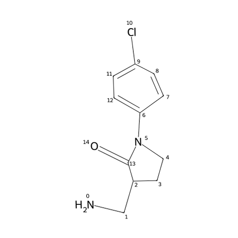 NCC1CCN(c2ccc(Cl)cc2)C1=O